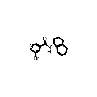 O=C(N[C@@H]1CCCC2=C1C=CCC2)c1cncc(Br)c1